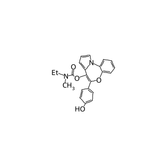 CCN(C)C(=O)OC1=C(c2ccc(O)cc2)Oc2ccccc2-n2cccc21